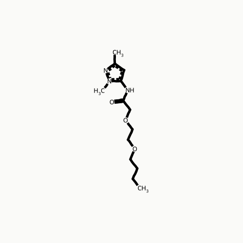 CCCCOCCOCC(=O)Nc1cc(C)nn1C